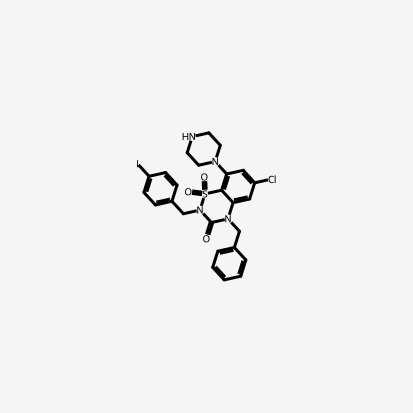 O=C1N(Cc2ccccc2)c2cc(Cl)cc(N3CCNCC3)c2S(=O)(=O)N1Cc1ccc(I)cc1